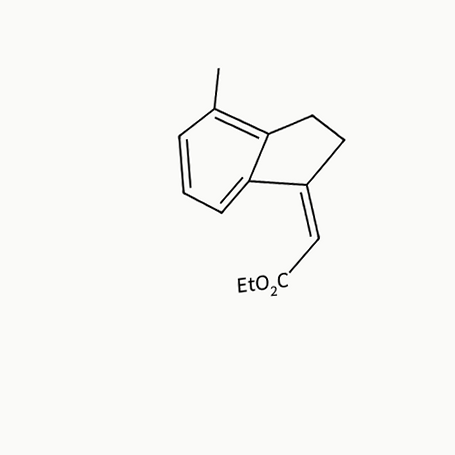 CCOC(=O)/C=C1/CCc2c(C)cccc21